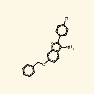 Nc1c(-c2ccc(Cl)cc2)sc2cc(OCc3ccccc3)ccc12